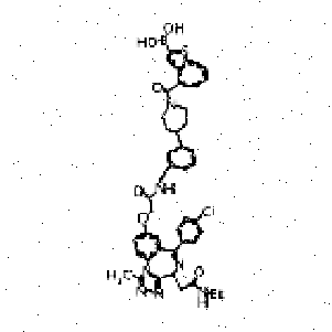 CCNC(=O)C[C@@H]1N=C(c2ccc(Cl)cc2)c2cc(OCC(=O)NCc3cccc(C4CCN(C(=O)c5cccc6sc(B(O)O)cc56)CC4)c3)ccc2-n2c(C)nnc21